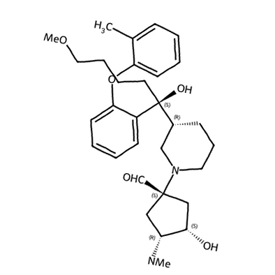 CN[C@@H]1C[C@](C=O)(N2CCC[C@@H]([C@@](O)(CCCCOC)c3ccccc3Oc3ccccc3C)C2)C[C@@H]1O